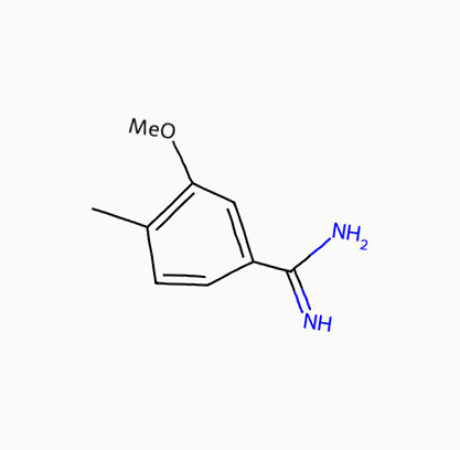 COc1cc(C(=N)N)ccc1C